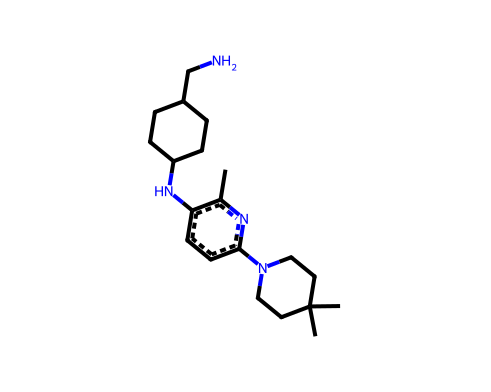 Cc1nc(N2CCC(C)(C)CC2)ccc1NC1CCC(CN)CC1